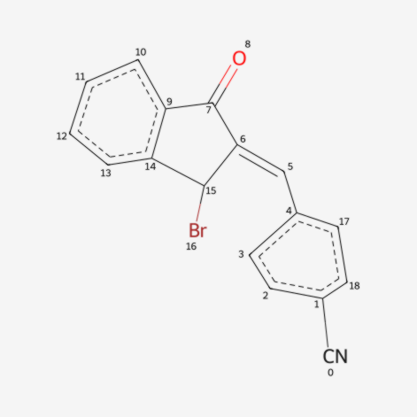 N#Cc1ccc(C=C2C(=O)c3ccccc3C2Br)cc1